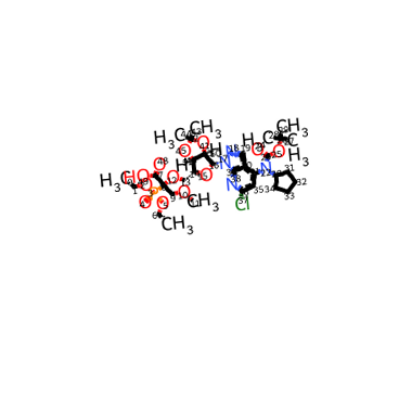 CCOP(=O)(OCC)C(COC)(OC[C@H]1O[C@@H](n2ncc3c(N(C(=O)OC(C)(C)C)C4CCCC4)cc(Cl)nc32)[C@@H]2OC(C)(C)O[C@@H]21)C(=O)O